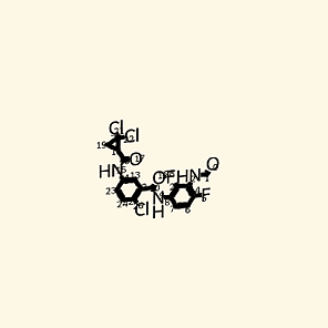 O=CNc1c(F)ccc(NC(=O)c2cc(NC(=O)C3CC3(Cl)Cl)ccc2Cl)c1F